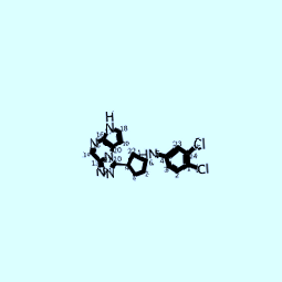 Clc1ccc(N[C@@H]2CC[C@@H](c3nnc4cnc5[nH]ccc5n34)C2)cc1Cl